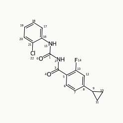 O=C(NC(=O)c1ccc(C2CC2)cc1F)Nc1ccccc1Cl